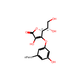 CCCCCc1cc(O)cc(OC2=C(O)C(=O)O[C@@H]2[C@@H](O)CO)c1